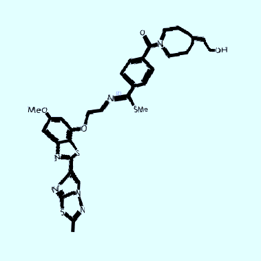 COc1cc(OCC/N=C(\SC)c2ccc(C(=O)N3CCC(CCO)CC3)cc2)c2sc(-c3cn4nc(C)sc4n3)nc2c1